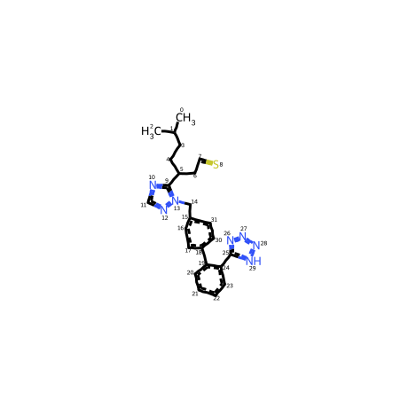 CC(C)CCC(CC=S)c1ncnn1Cc1ccc(-c2ccccc2-c2nnn[nH]2)cc1